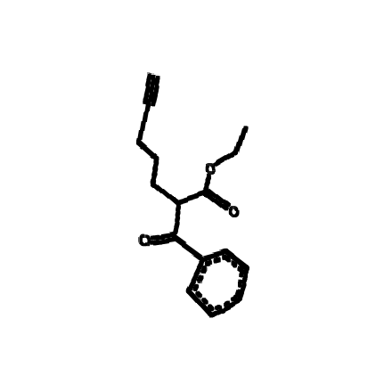 C#CCCCC(C(=O)OCC)C(=O)c1ccccc1